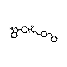 O=C(NCCC1CCN(Cc2ccccc2)CC1)N1CCC(c2c[nH]c3ccccc23)CC1